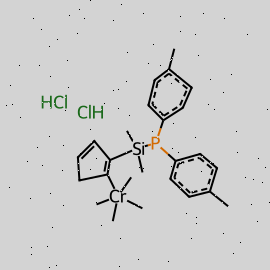 Cc1ccc(P(c2ccc(C)cc2)[Si](C)(C)C2=[C]([Cr]([CH3])([CH3])([CH3])[CH3])CC=C2)cc1.Cl.Cl